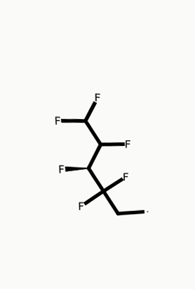 [CH2]CC(F)(F)[C@@H](F)C(F)C(F)F